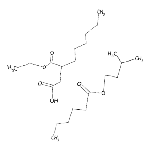 CCCCCC(=O)OCCC(C)C.CCCCCCC(CC(=O)O)C(=O)OCC